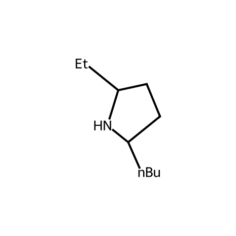 CCCCC1CCC(CC)N1